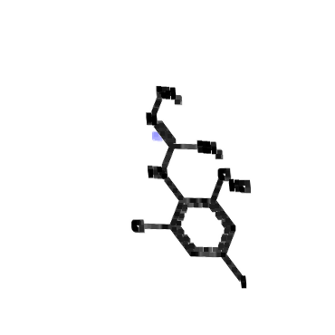 Cl.N/N=C(\N)Nc1c(Cl)cc(I)cc1Cl